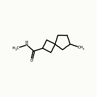 CNC(=O)C1CC2(CCC(C)C2)C1